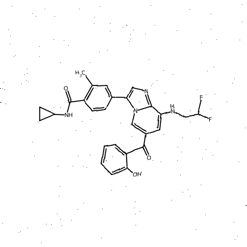 Cc1cc(-c2cnc3c(NCC(F)F)cc(C(=O)c4ccccc4O)cn23)ccc1C(=O)NC1CC1